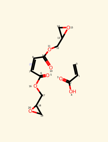 C=CC(=O)O.O=C(/C=C\C(=O)OCC1CO1)OCC1CO1